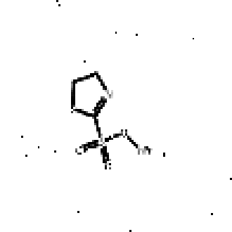 CCCOS(=O)(=O)C1=NCCS1